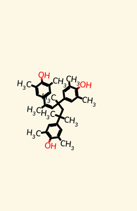 CC(=CC(C)(CC(C)(C)c1cc(C)c(O)c(C)c1)c1cc(C)c(O)c(C)c1)c1cc(C)c(O)c(C)c1